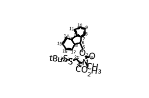 CN(C(=O)OCC1c2ccccc2C2C=CC=CC21)[C@@H](CSSC(C)(C)C)C(=O)O